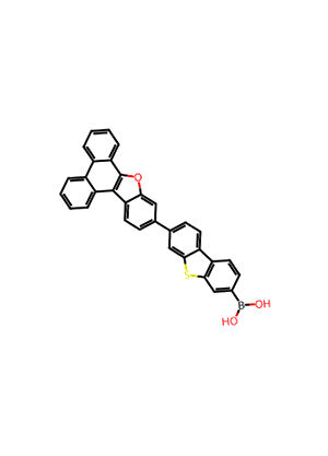 OB(O)c1ccc2c(c1)sc1cc(-c3ccc4c(c3)oc3c5ccccc5c5ccccc5c43)ccc12